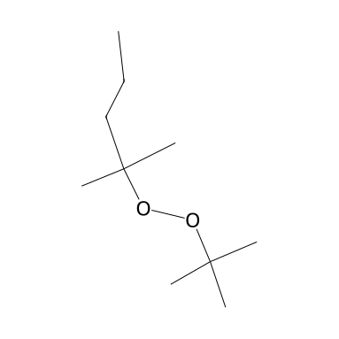 CCCC(C)(C)OOC(C)(C)C